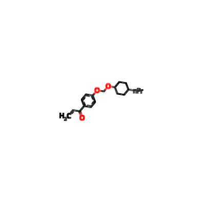 C=CC(=O)c1ccc(OCOC2CCC(CCC)CC2)cc1